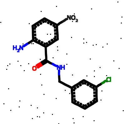 Nc1ccc([N+](=O)[O-])cc1C(=O)NCc1cccc(Cl)c1